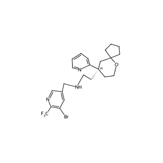 FC(F)(F)c1ncc(CNCC[C@@]2(c3ccccn3)CCOC3(CCCC3)C2)cc1Br